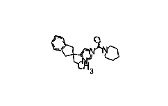 CCC1(c2cn(C(=O)N3CCCCC3)cn2)Cc2ccccc2C1